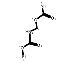 CCOC(=O)NCOC([NH])=O